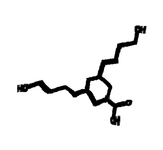 O=C(O)N1CC(CCCCO)CC(CCCCO)C1